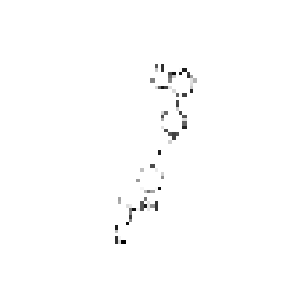 CC(C)CCC(=O)N[C@H]1CC[C@H](CCN2CCC(c3cccc4c3CCO4)CC2)CC1